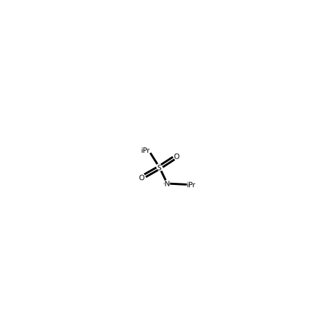 CC(C)[N]S(=O)(=O)C(C)C